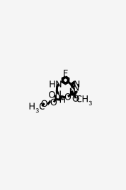 COCCOC1C[C@H]2COc3nc4c(cnn4cc3OC)-c3cc(F)cc(c3)NCCN2C1=O